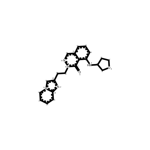 O=c1c2c(NC3CCOC3)cccc2cnn1CCc1cn2ccccc2n1